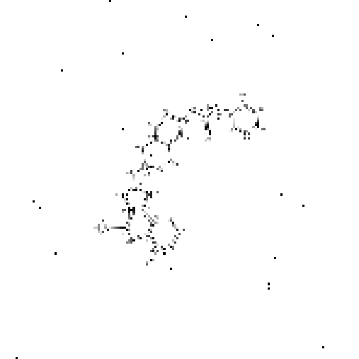 Nc1nc2c(F)cccc2c2nc(CN3CCc4cc(CC(=O)Nc5ccccn5)ccc4C3)cn12